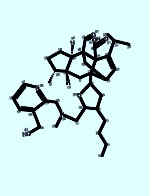 CCCCC1CC(C23C[C@@H]4[C@H](C)CC[C@H]4C4(C=O)CC2C=C(C(C)C)C34C(=O)O)OC1CN(C)Cc1ncccc1CO